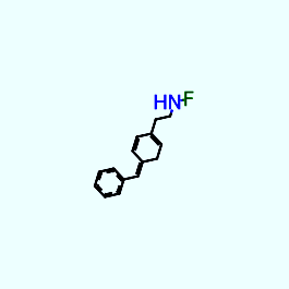 FNCCC1=CCC(=Cc2ccccc2)C=C1